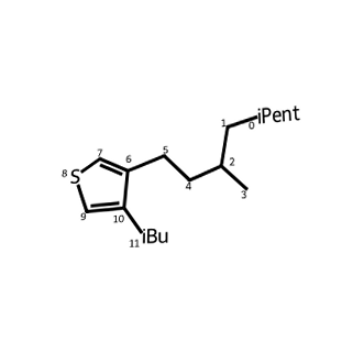 CCCC(C)CC(C)CCc1cscc1C(C)CC